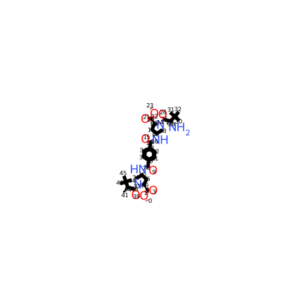 COC(=O)[C@@H]1C[C@H](NC(=O)c2ccc(C(=O)N[C@H]3C[C@@H](C(=O)OC)N(C(=O)[C@@H](N)C(C)(C)C)C3)cc2)CN1C(=O)[C@@H](C)C(C)(C)C